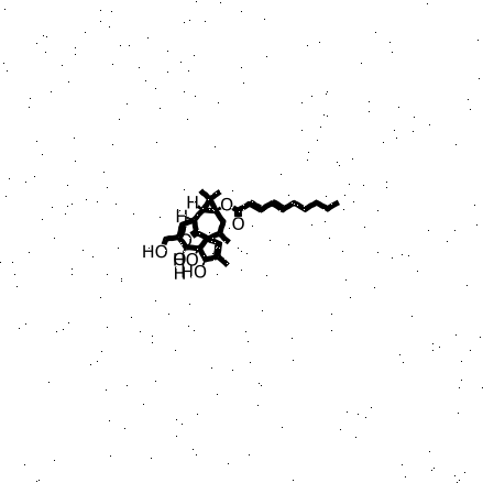 CCCCC/C=C/C=C/C(=O)O[C@@]12CC(C)C34C=C(C)[C@H](O)[C@@]3(O)[C@H](O)C(CO)=C[C@H](C4=O)[C@@H]1C2(C)C